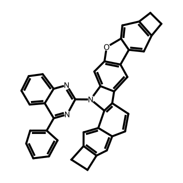 c1ccc(-c2nc(-n3c4cc5oc6cc7c(cc6c5cc4c4ccc5cc6c(cc5c43)CC6)CC7)nc3ccccc23)cc1